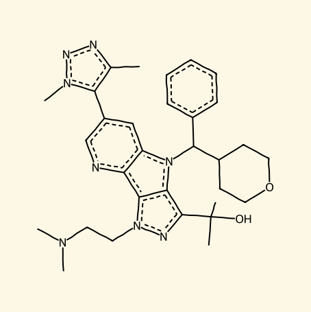 Cc1nnn(C)c1-c1cnc2c3c(c(C(C)(C)O)nn3CCN(C)C)n(C(c3ccccc3)C3CCOCC3)c2c1